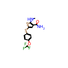 CNc1sc(Sc2ccc(OC(F)(F)F)cc2)cc1C(N)=O